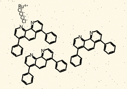 [Cl-].[Cl-].[Cl-].[Cl-].[Ru+4].c1ccc(-c2ccnc3c2ccc2c(-c4ccccc4)ccnc23)cc1.c1ccc(-c2ccnc3c2ccc2c(-c4ccccc4)ccnc23)cc1.c1ccc(-c2ccnc3c2ccc2c(-c4ccccc4)ccnc23)cc1